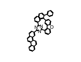 c1ccc(-c2nc(-c3ccc4ccc5c6ccccc6ccc5c4c3)nc(-c3cccc4oc5ccc(-c6ccccc6-c6ccccc6)cc5c34)n2)cc1